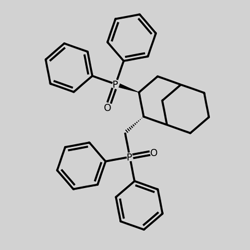 O=P(C[C@H]1C2CCCC(C2)C[C@@H]1P(=O)(c1ccccc1)c1ccccc1)(c1ccccc1)c1ccccc1